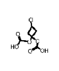 O=C(O)OC1(OC(=O)O)CC(Cl)C1